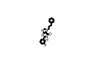 O=c1[nH]c(-c2cccc(F)c2)nc2ncn(CCCc3ccccc3)c12